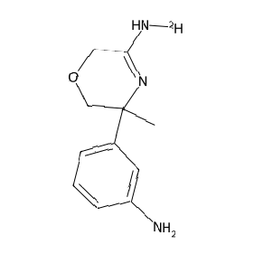 [2H]NC1=NC(C)(c2cccc(N)c2)COC1